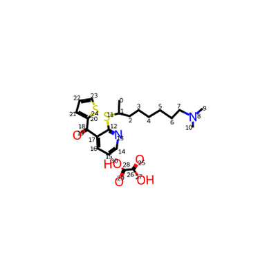 CC(CCCCCCN(C)C)Sc1ncccc1C(=O)c1cccs1.O=C(O)C(=O)O